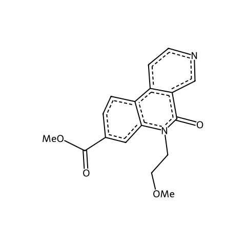 COCCn1c(=O)c2cnccc2c2ccc(C(=O)OC)cc21